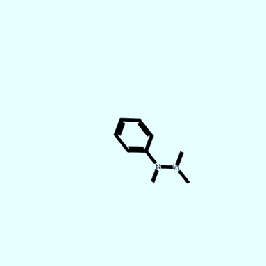 C[N](c1ccccc1)[In]([CH3])[CH3]